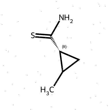 CC1C[C@H]1C(N)=S